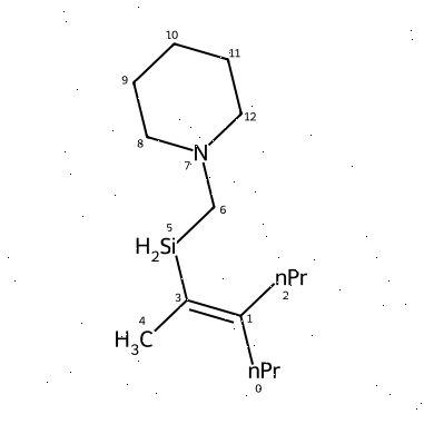 CCCC(CCC)=C(C)[SiH2]CN1CCCCC1